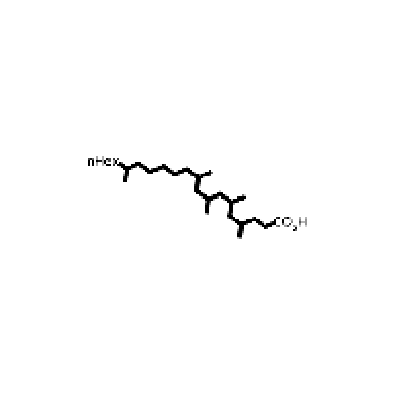 CCCCCCC(C)CCCCCC(C)CC(C)CC(C)CC(C)CCC(=O)O